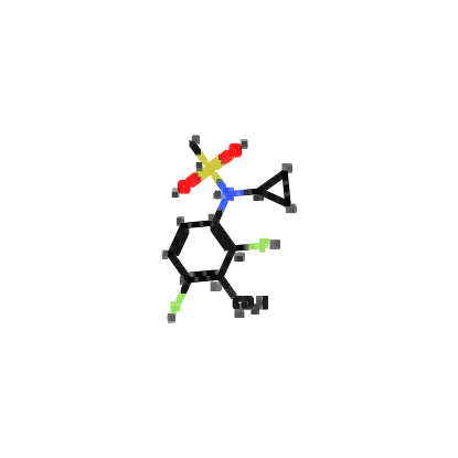 CS(=O)(=O)N(c1ccc(F)c(C(=O)O)c1F)C1CC1